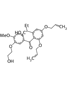 C=CCOc1cc(OCC=C)c(C(=O)c2ccc(OC)c(OCCO)c2)c(C(CC)C(=O)O)c1